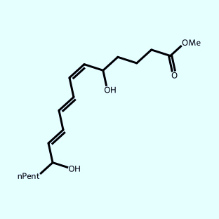 CCCCCC(O)/C=C/C=C/C=C\C(O)CCCC(=O)OC